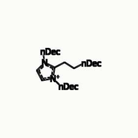 CCCCCCCCCCCCc1n(CCCCCCCCCC)cc[n+]1CCCCCCCCCC